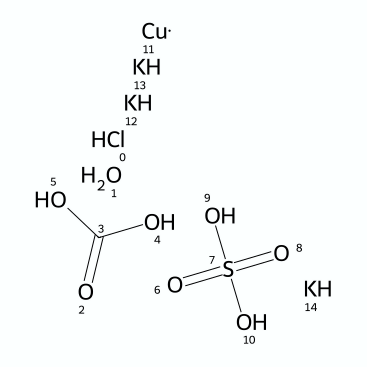 Cl.O.O=C(O)O.O=S(=O)(O)O.[Cu].[KH].[KH].[KH]